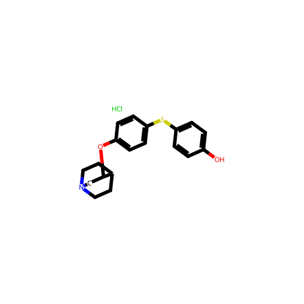 Cl.Oc1ccc(Sc2ccc(OC3CN4CCC3CC4)cc2)cc1